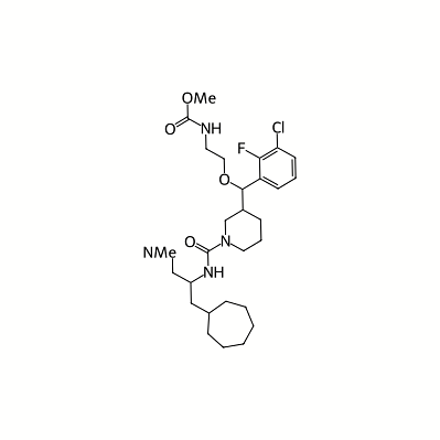 CNCC(CC1CCCCCC1)NC(=O)N1CCCC(C(OCCNC(=O)OC)c2cccc(Cl)c2F)C1